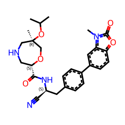 CC(C)O[C@]1(C)CNC[C@@H](C(=O)N[C@H](C#N)Cc2ccc(-c3ccc4oc(=O)n(C)c4c3)cc2)OC1